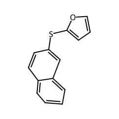 c1coc(Sc2ccc3ccccc3c2)c1